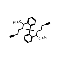 C#CCCCC(C(=O)O)c1ccccc1C(C)(C)c1ccccc1C(CCCC#C)C(=O)O